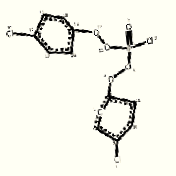 O=P(Cl)(OOc1ccc(Cl)cc1)OOc1ccc(Cl)cc1